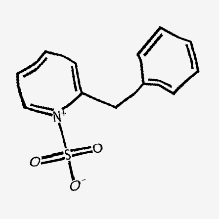 O=S(=O)([O-])[n+]1ccccc1Cc1ccccc1